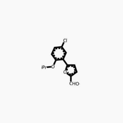 CC(C)Oc1ccc(Cl)cc1-c1ccc([C]=O)o1